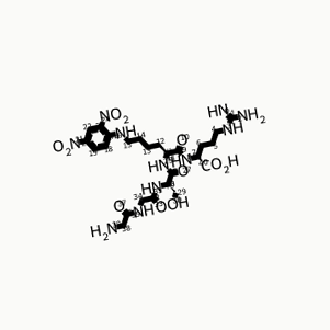 N=C(N)NCCC[C@@H](NC(=O)[C@H](CCCCNc1ccc([N+](=O)[O-])cc1[N+](=O)[O-])NC(=O)[C@H](CO)NC(=O)CNC(=O)CN)C(=O)O